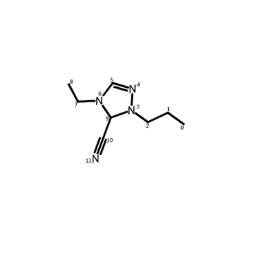 CCCN1N=CN(CC)C1C#N